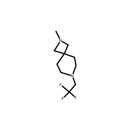 CN1CC2(CCN(CC(F)(F)F)CC2)C1